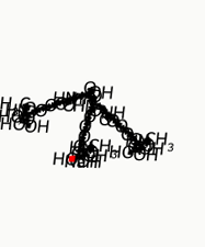 CC(=O)N[C@H]1[C@H](OCCOCCOCCOCC(=O)NCCCC[C@H](NC(=O)[C@H](CCCCNC(=O)COCCOCCOCCO[C@@H]2O[C@H](CO)[C@H](O)[C@H](O)[C@H]2NC(C)=O)NC(=O)COCCOCCOCCO[C@@H]2O[C@H](CO)[C@H](O)[C@H](O)[C@H]2NC(C)=O)C(=O)O)O[C@H](CO)[C@H](O)[C@@H]1O.[NaH]